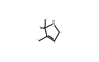 CC1=CCNC1(C)C